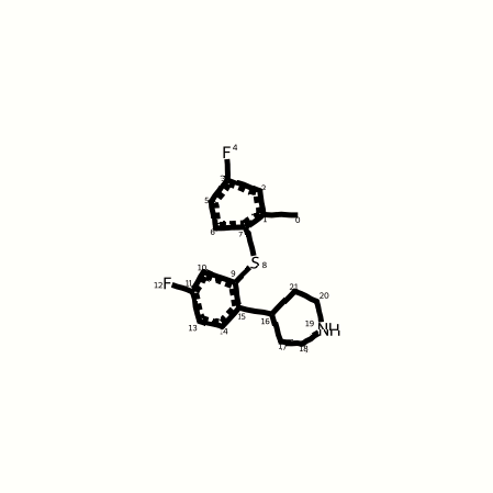 Cc1cc(F)ccc1Sc1cc(F)ccc1C1CCNCC1